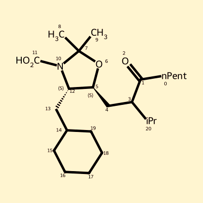 CCCCCC(=O)C(C[C@@H]1OC(C)(C)N(C(=O)O)[C@H]1CC1CCCCC1)C(C)C